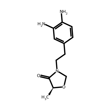 C[C@@H]1OCN(CCc2ccc(N)c(N)c2)C1=O